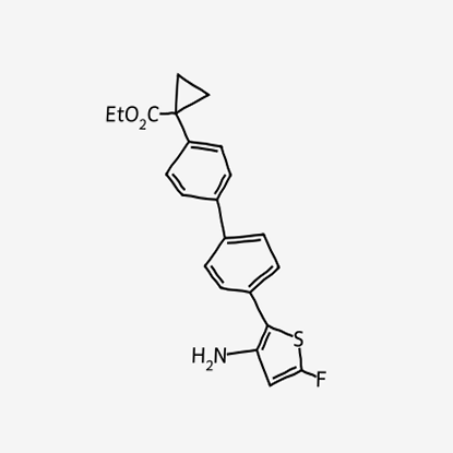 CCOC(=O)C1(c2ccc(-c3ccc(-c4sc(F)cc4N)cc3)cc2)CC1